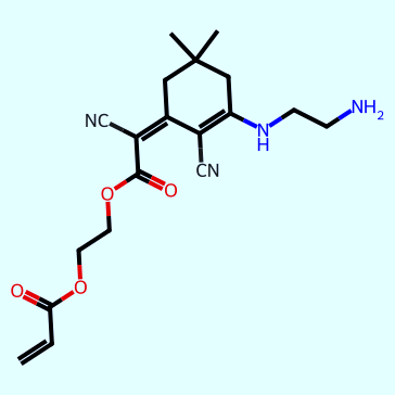 C=CC(=O)OCCOC(=O)/C(C#N)=C1/CC(C)(C)CC(NCCN)=C1C#N